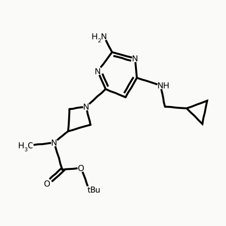 CN(C(=O)OC(C)(C)C)C1CN(c2cc(NCC3CC3)nc(N)n2)C1